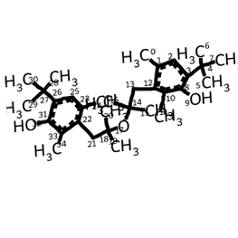 Cc1cc(C(C)(C)C)c(O)c(C)c1CC(C)(C)OC(C)(C)Cc1c(C)cc(C(C)(C)C)c(O)c1C